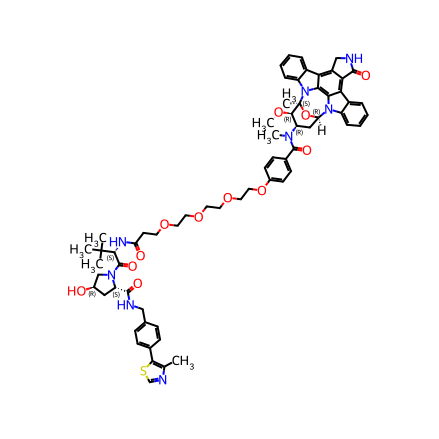 CO[C@@H]1[C@H](N(C)C(=O)c2ccc(OCCOCCOCCOCCC(=O)N[C@H](C(=O)N3C[C@H](O)C[C@H]3C(=O)NCc3ccc(-c4scnc4C)cc3)C(C)(C)C)cc2)C[C@H]2O[C@]1(C)n1c3ccccc3c3c4c(c5c6ccccc6n2c5c31)C(=O)NC4